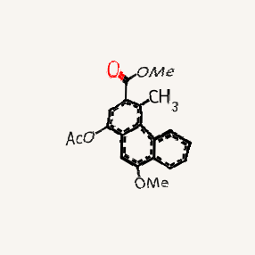 COC(=O)c1cc(OC(C)=O)c2cc(OC)c3ccccc3c2c1C